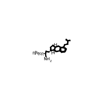 C=C(C)CCc1cccc2c1C[C@H]1CC[C@H](CC[C@@H](CN)CCCCC)[C@H]1C2